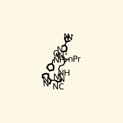 CCCC1/C(=[N+](/C(=O)NCc2ccccc2)c2ccc(-c3cnn(C)c3)cn2)C1CCCNc1ncc(C#N)c(-c2cnn3ccccc23)n1